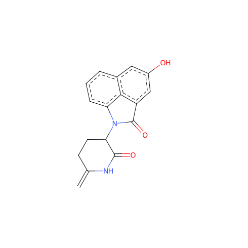 C=C1CCC(N2C(=O)c3cc(O)cc4cccc2c34)C(=O)N1